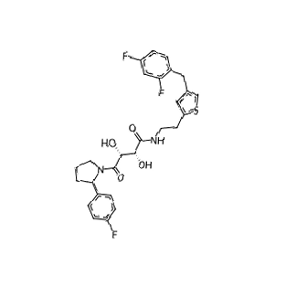 O=C(NCCc1cc(Cc2ccc(F)cc2F)cs1)[C@H](O)[C@@H](O)C(=O)N1CCCC1c1ccc(F)cc1